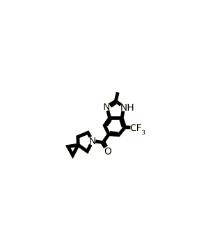 Cc1nc2cc(C(=O)N3CCC4(CC4)C3)cc(C(F)(F)F)c2[nH]1